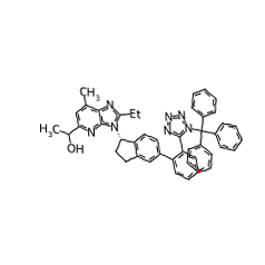 CCc1nc2c(C)cc(C(C)O)nc2n1[C@H]1CCc2cc(-c3ccccc3-c3nnnn3C(c3ccccc3)(c3ccccc3)c3ccccc3)ccc21